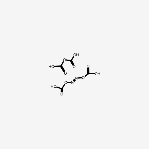 O=C(O)OC(=O)O.O=C(O)ON=NOC(=O)O